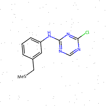 CSCc1cccc(Nc2ncnc(Cl)n2)c1